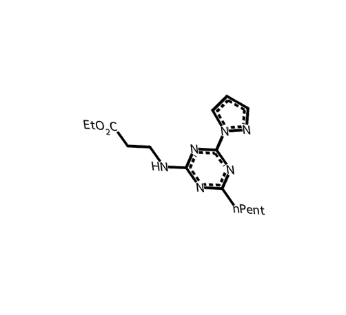 CCCCCc1nc(NCCC(=O)OCC)nc(-n2cccn2)n1